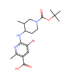 Cc1nc(NC2CCN(C(=O)OC(C)(C)C)CC2C)c(Br)cc1C(=O)O